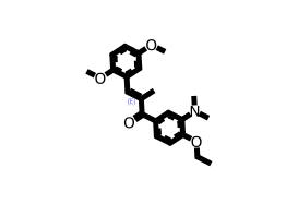 CCOc1ccc(C(=O)/C(C)=C/c2cc(OC)ccc2OC)cc1N(C)C